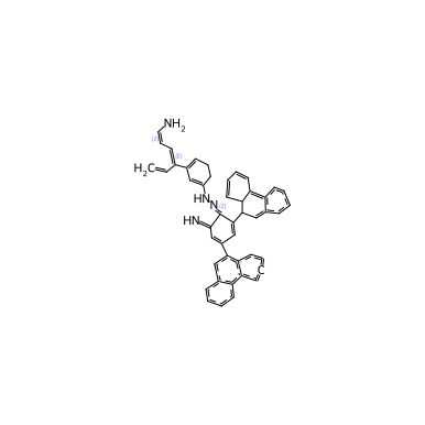 C=C/C(=C\C=C/N)C1=CCCC(N/N=C2\C(=N)C=C(c3cc4ccccc4c4ccccc34)C=C2C2C=c3ccccc3=C3C=CC=CC32)=C1